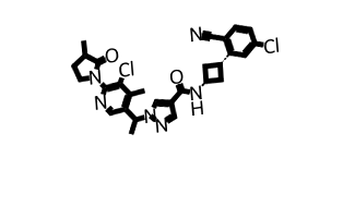 Cc1c(C(C)n2cc(C(=O)N[C@H]3C[C@@H](c4cc(Cl)ccc4C#N)C3)cn2)cnc(N2CCC(C)C2=O)c1Cl